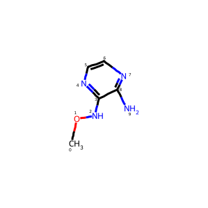 CONc1nccnc1N